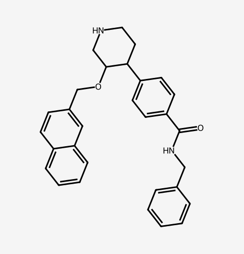 O=C(NCc1ccccc1)c1ccc(C2CCNCC2OCc2ccc3ccccc3c2)cc1